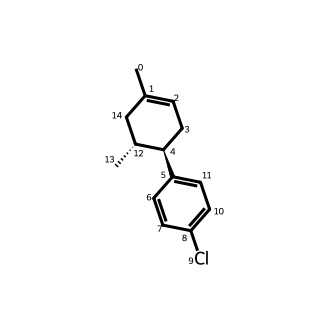 CC1=CC[C@@H](c2ccc(Cl)cc2)[C@H](C)C1